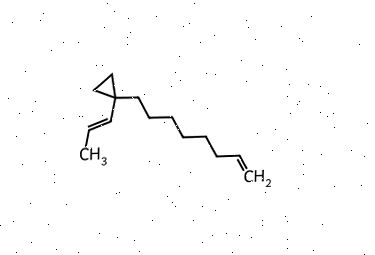 C=CCCCCCCC1(C=CC)CC1